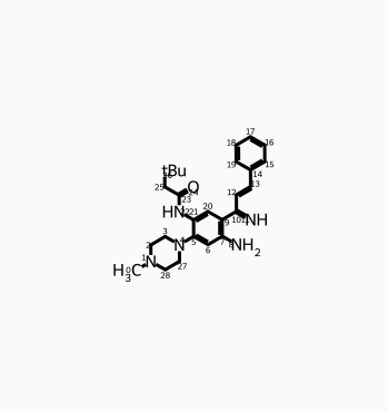 CN1CCN(c2cc(N)c(C(=N)/C=C/c3ccccc3)cc2NC(=O)CC(C)(C)C)CC1